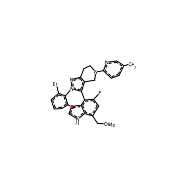 CCc1cccc(CC)c1-n1nc2c(c1-c1c(F)cc(COC)c3[nH]ccc13)CN(c1ccc(C(F)(F)F)cn1)CC2